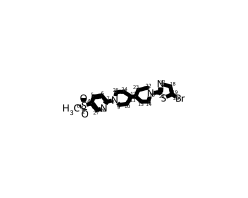 CS(=O)(=O)c1ccc(N2CCC(C3CCN(C4=NCC(Br)S4)CC3)CC2)nc1